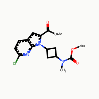 COC(=O)c1cc2ccc(Cl)nc2n1C1CC(N(C)C(=O)OC(C)(C)C)C1